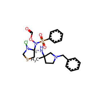 CC1(N[C@]2(N(OC=O)S(=O)(=O)c3ccccc3)CSCN2Cl)CCN(Cc2ccccc2)C1